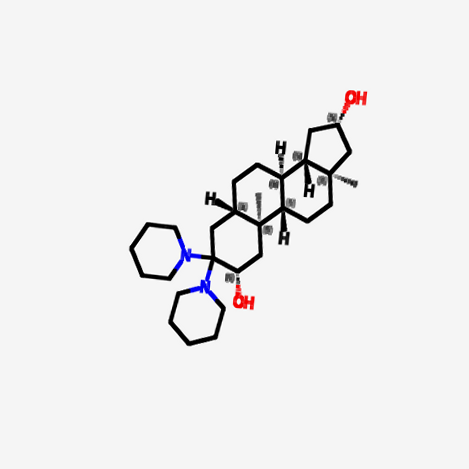 C[C@]12CC[C@H]3[C@@H](CC[C@H]4CC(N5CCCCC5)(N5CCCCC5)[C@@H](O)C[C@@]43C)[C@@H]1C[C@H](O)C2